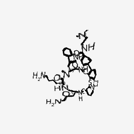 CN(C)CCNC(=O)c1ccc(-c2ccc(Cl)c3c2CNC(=O)[C@H](Cc2c[nH]c4ccccc24)N(C)C(=O)[C@H](CCCCN)NC(=O)[C@H](CCCN)NCc2cccnc2S3)cc1